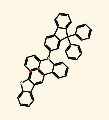 c1ccc(N(c2ccc3c(c2)C(c2ccccc2)(c2ccccc2)c2ccccc2-3)c2ccccc2-c2ccc3sc4ccccc4c3c2)cc1